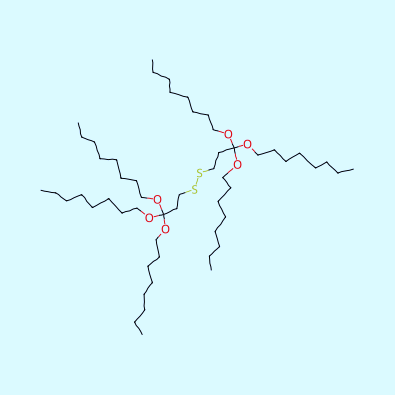 CCCCCCCCOC(CCSSCCC(OCCCCCCCC)(OCCCCCCCC)OCCCCCCCC)(OCCCCCCCC)OCCCCCCCC